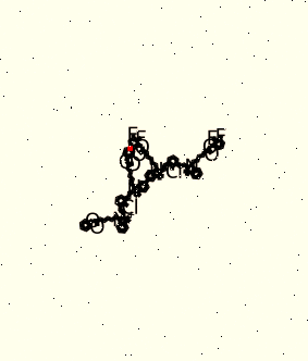 CC1(C)C(/C=C/C2=C(Cl)C(=C/C=C3/N(CCCCCC(=O)Oc4ccccc4)c4cc(-c5ccc6c(c5)C(C)(C)C(/C=C/C5=C(Cl)C(=C/C=C7/N(CCCCCC(=O)Oc8cccc(F)c8F)c8ccccc8C7(C)C)/CCC5)=[N+]6CCCCCC(=O)Oc5cccc(F)c5F)ccc4C3(C)C)/CCC2)=[N+](CCCCCC(=O)Oc2ccccc2)c2ccccc21